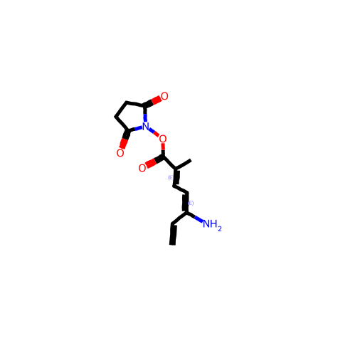 C=C/C(N)=C\C=C(/C)C(=O)ON1C(=O)CCC1=O